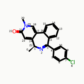 C[C@@H]1N=C(c2ccc(Cl)cc2)c2ccccc2-c2cn(C)c(=O)cc21